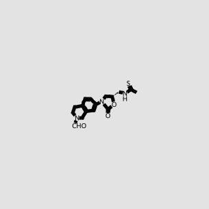 CC(=S)NC[C@H]1CN(c2ccc3c(c2)CN(C=O)CC3)C(=O)O1